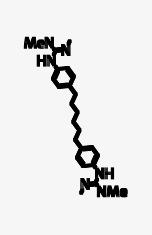 CN=C(NC)Nc1ccc(CCCCCCc2ccc(NC(=NC)NC)cc2)cc1